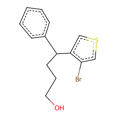 OCCCC(c1ccccc1)c1cscc1Br